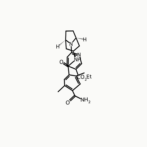 CCOC(=O)c1ccc(N2[C@@H]3CC[C@H]2C[C@@H](NC(=O)c2cc(C)c(C(N)=O)cc2C)C3)nc1